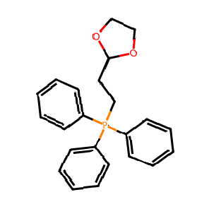 c1ccc([P](CCC2OCCO2)(c2ccccc2)c2ccccc2)cc1